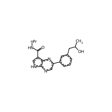 CCCNC(=O)c1c[nH]c2ncc(-c3cccc(CC(C)O)c3)nc12